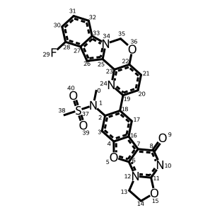 CN(c1cc2oc3c(c(=O)nc4n3CCO4)c2cc1-c1ccc2c(n1)-c1cc3c(F)cccc3n1CO2)S(C)(=O)=O